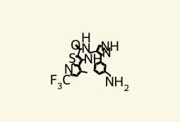 Cc1cc(C(F)(F)F)nc2sc3c(c12)NC(c1c[nH]nc1-c1cccc(CN)c1)NC3=O